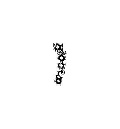 O=C(CC1Cc2ccccc2S1)N1CCN(c2ccc(S(=O)(=O)Nc3ccncn3)cc2)CC1